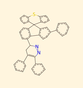 c1ccc(C2=C(c3ccccc3)N=NC(c3cccc4c3-c3ccc(-c5ccccc5)cc3C43c4ccccc4Sc4ccccc43)C2)cc1